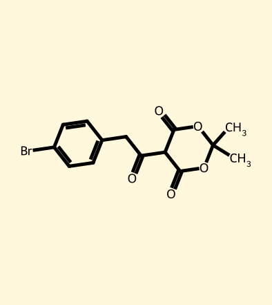 CC1(C)OC(=O)C(C(=O)Cc2ccc(Br)cc2)C(=O)O1